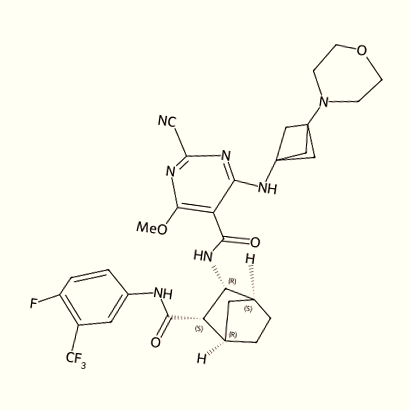 COc1nc(C#N)nc(NC23CC(N4CCOCC4)(C2)C3)c1C(=O)N[C@@H]1[C@H]2CC[C@H](C2)[C@@H]1C(=O)Nc1ccc(F)c(C(F)(F)F)c1